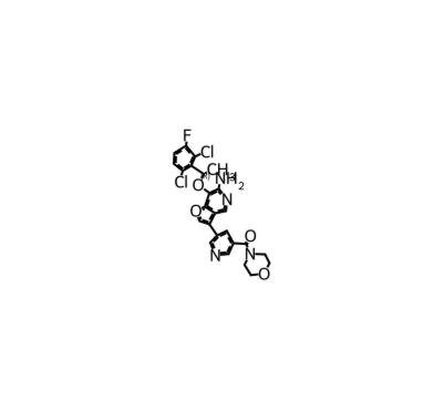 C[C@@H](Oc1c(N)ncc2c(-c3cncc(C(=O)N4CCOCC4)c3)coc12)c1c(Cl)ccc(F)c1Cl